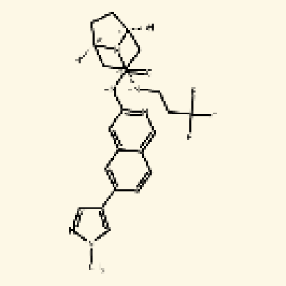 Cn1cc(-c2ccc3cnc(NC(=O)N4[C@@H]5CC[C@H]4C[C@H](NCCC(F)(F)F)C5)cc3c2)cn1